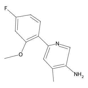 COc1cc(F)ccc1-c1cc(C)c(N)cn1